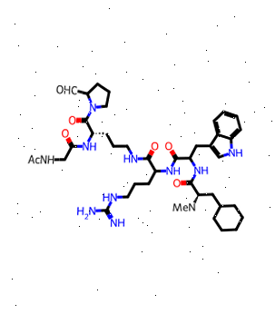 CN[C@H](CC1CCCCC1)C(=O)NC(Cc1c[nH]c2ccccc12)C(=O)NC(CCCNC(=N)N)C(=O)NCCC[C@H](NC(=O)CNC(C)=O)C(=O)N1CCCC1C=O